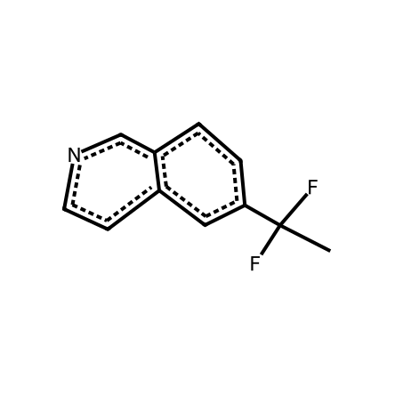 CC(F)(F)c1ccc2cnccc2c1